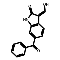 O=C1Nc2cc(C(=O)c3c[c]ccc3)ccc2/C1=C/O